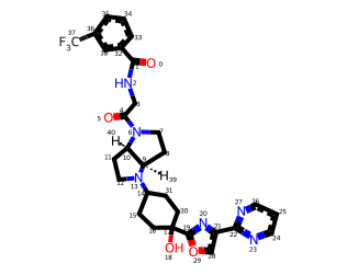 O=C(NCC(=O)N1CC[C@@H]2[C@H]1CCN2C1CCC(O)(c2nc(-c3ncccn3)co2)CC1)c1cccc(C(F)(F)F)c1